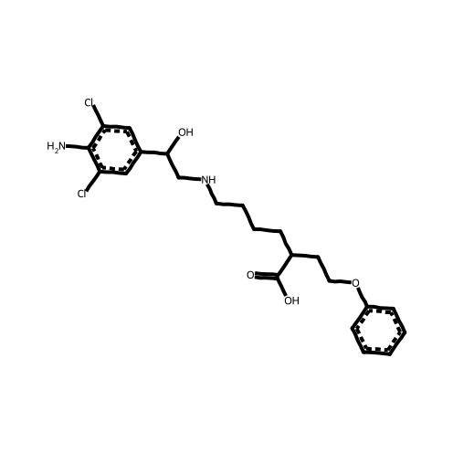 Nc1c(Cl)cc(C(O)CNCCCCC(CCOc2ccccc2)C(=O)O)cc1Cl